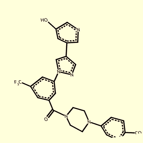 O=C(O)c1ccc(N2CCN(C(=O)c3cc(-n4cc(-c5cncc(O)c5)cn4)cc(C(F)(F)F)c3)CC2)cc1